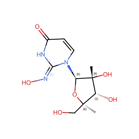 C[C@]1(O)[C@H](n2ccc(=O)[nH]/c2=N\O)O[C@](C)(CO)[C@H]1O